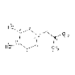 CN(C)C[C@@H]1CC[C@H](O)[C@H](O)C1